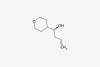 C=CC[C@H](O)C1CCOCC1